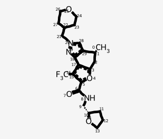 C[C@H]1Cc2oc(C(=O)NC[C@@H]3CCCO3)c(C(F)(F)F)c2-c2nn(CC3CCOCC3)cc21